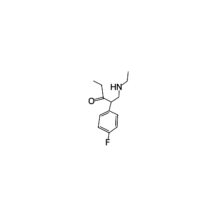 CCNCC(C(=O)CC)c1ccc(F)cc1